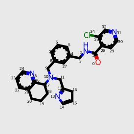 O=C(NCc1cccc(CN(CC2=NC=CC2)C2CCCc3cccnc32)c1)c1ccncc1Cl